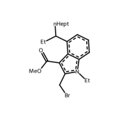 CCCCCCCC(CC)c1cccc2c1c(C(=O)OC)c(CBr)n2CC